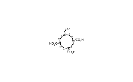 CC(=O)CN1CCN(C(=O)O)CCN(C(=O)O)CCN(C(=O)O)CC1